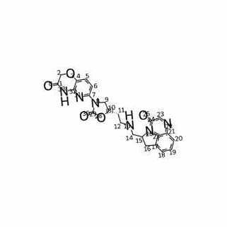 O=C1COc2ccc(N3C[C@H](CCNCC4Cc5cccc6ncc(=O)n4c56)OC3=O)nc2N1